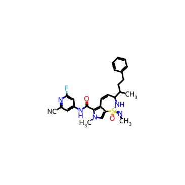 CN=S1(=O)NC(C(C)CCc2ccccc2)C=Cc2c1cn(C)c2C(=O)Nc1cc(F)nc(C#N)c1